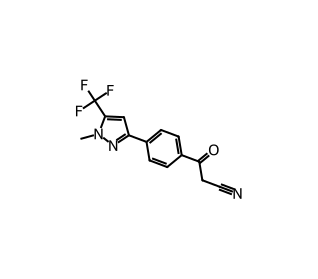 Cn1nc(-c2ccc(C(=O)CC#N)cc2)cc1C(F)(F)F